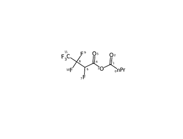 CCCC(=O)OC(=O)C(F)C(F)(F)C(F)(F)F